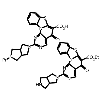 CC(C)N1CC2CN(c3ncc4c(=O)c(C(=O)O)c5sc6ccccc6n5c4n3)CC2C1.CCOC(=O)c1c(=O)c2cnc(N3CC4CNCC4C3)nc2n2c1sc1ccccc12